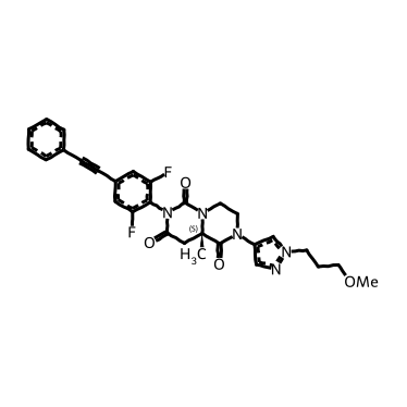 COCCCn1cc(N2CCN3C(=O)N(c4c(F)cc(C#Cc5ccccc5)cc4F)C(=O)C[C@@]3(C)C2=O)cn1